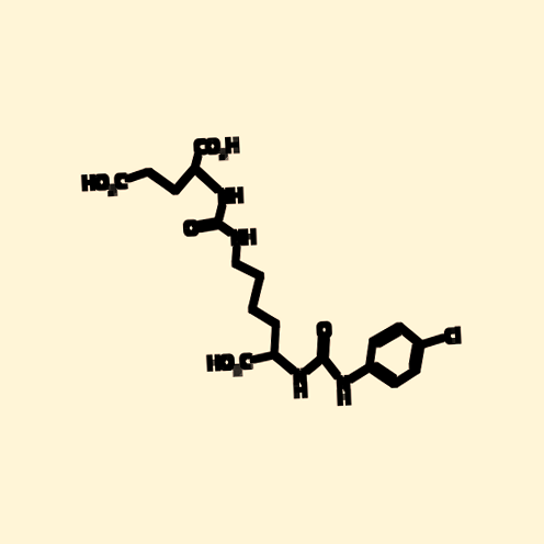 O=C(O)CCC(NC(=O)NCCCCC(NC(=O)Nc1ccc(Cl)cc1)C(=O)O)C(=O)O